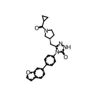 O=C(C1CC1)N1CC[C@@H](Cc2n[nH]c(=O)n2-c2ccc(-c3ccc4ccoc4c3)cc2)C1